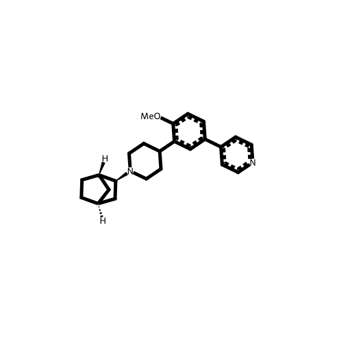 COc1ccc(-c2ccncc2)cc1C1CCN([C@H]2C[C@H]3CC[C@H]2C3)CC1